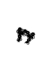 C=CC(=O)N1CCN(c2nc(=O)c(-c3ccccc3C)c3cc(-c4ccccc4Br)c(C)nn23)CC1.Cc1ccccc1-c1c(=O)nc(N2CCN(C(=O)OC(C)(C)C)CC2)n2nc(C)c(-c3ccccc3Br)cc12